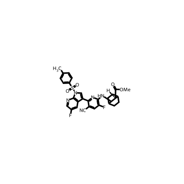 COC(=O)[C@@H]1C2CCC(CC2)C1Nc1nc(-c2cn(S(=O)(=O)c3ccc(C)cc3)c3ncc(F)cc23)c(C#N)cc1F